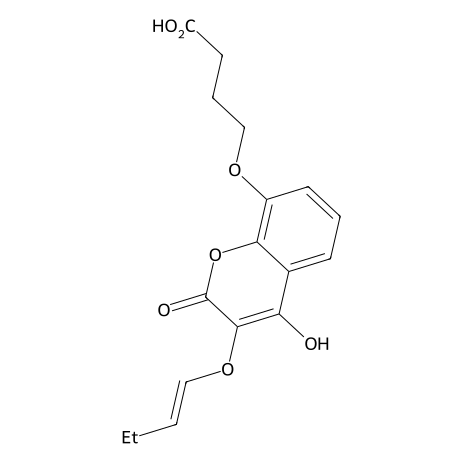 CCC=COc1c(O)c2cccc(OCCCC(=O)O)c2oc1=O